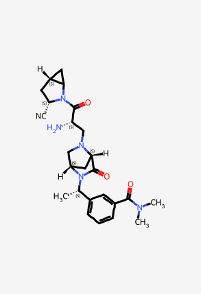 C[C@@H](c1cccc(C(=O)N(C)C)c1)N1C(=O)[C@@H]2C[C@H]1CN2C[C@H](N)C(=O)N1C2C[C@H]2C[C@H]1C#N